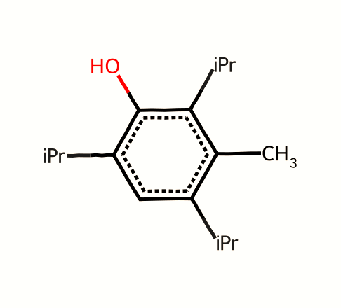 Cc1c(C(C)C)cc(C(C)C)c(O)c1C(C)C